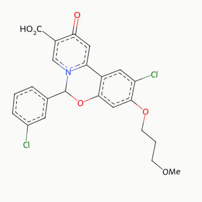 COCCCOc1cc2c(cc1Cl)-c1cc(=O)c(C(=O)O)cn1C(c1cccc(Cl)c1)O2